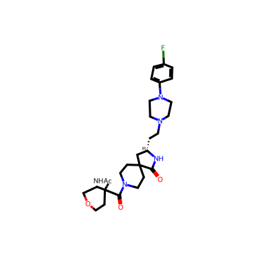 CC(=O)NC1(C(=O)N2CCC3(CC2)C[C@H](CCN2CCN(c4ccc(F)cc4)CC2)NC3=O)CCOCC1